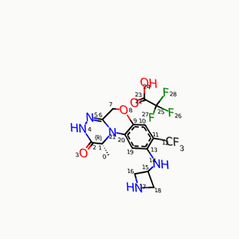 C[C@@H]1C(=O)NN=C2COc3cc(C(F)(F)F)c(NC4CNC4)cc3N21.O=C(O)C(F)(F)F